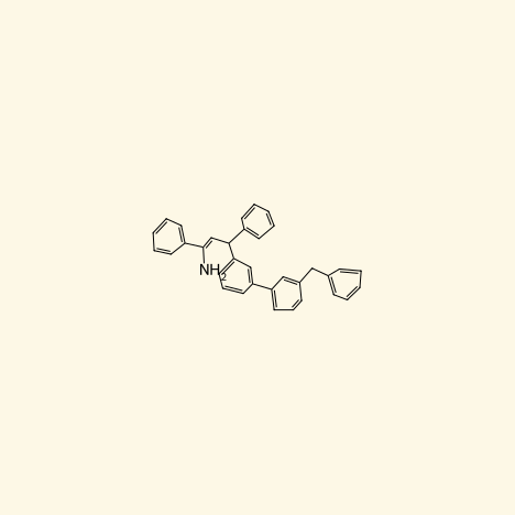 N/C(=C\C(c1ccccc1)c1cccc(-c2cccc(Cc3ccccc3)c2)c1)c1ccccc1